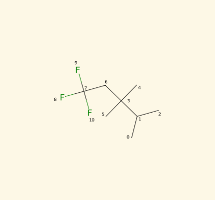 CC(C)C(C)(C)CC(F)(F)F